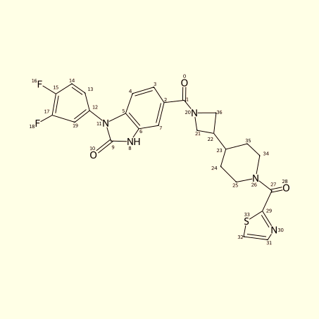 O=C(c1ccc2c(c1)[nH]c(=O)n2-c1ccc(F)c(F)c1)N1CC(C2CCN(C(=O)c3nccs3)CC2)C1